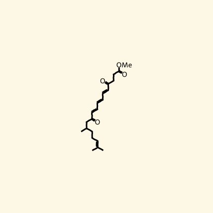 COC(=O)CCC(=O)/C=C/C=C/C=C/C(=O)CC(C)CCC=C(C)C